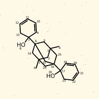 CC12CC3(C)CC(C4(O)C=CC=CC4)(C1)CC(C1(O)C=CC=CC1)(C2)C3